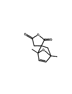 CC12C=CC(C)(O1)C1(CC(=O)OC1=O)C2